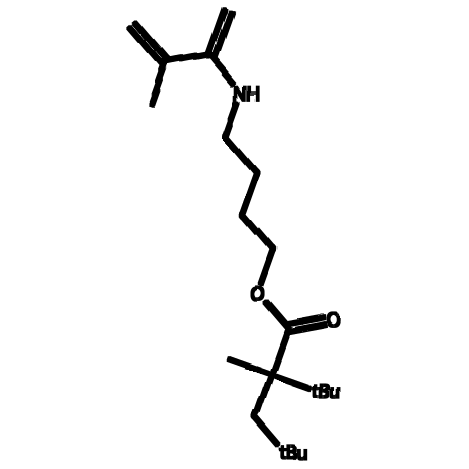 C=C(C)C(=C)NCCCCOC(=O)C(C)(CC(C)(C)C)C(C)(C)C